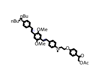 CCCCN(CCCC)c1ccc(/C=C/c2cc(OC)c(/C=C/c3ccc(N(C)CCOc4ccc(C(=O)COC(C)=O)cc4)cc3)cc2OC)cc1